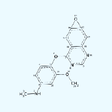 CNc1ccc(Oc2ncnc3cc4c(cc23)O4)c(OC)c1